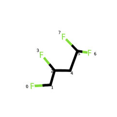 FCC(F)CC(F)F